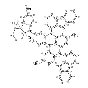 Cc1cc2c3c(c1)N(c1cccc4c1sc1ccccc14)c1cc(N4c5ccc(C(C)(C)C)cc5C5(C)CCCCC45C)ccc1B3c1cc(C(C)(C)C)ccc1N2c1cccc2c1oc1ccccc12